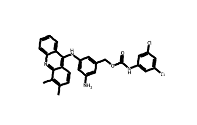 Cc1ccc2c(Nc3cc(N)cc(COC(=O)Nc4cc(Cl)cc(Cl)c4)c3)c3ccccc3nc2c1C